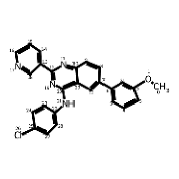 COc1cccc(-c2ccc3nc(-c4cccnc4)nc(Nc4ccc(Cl)cc4)c3c2)c1